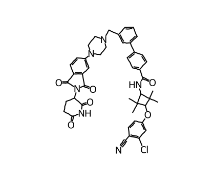 CC1(C)C(NC(=O)c2ccc(-c3cccc(CN4CCN(c5ccc6c(c5)C(=O)N(C5CCC(=O)NC5=O)C6=O)CC4)c3)cc2)C(C)(C)C1Oc1ccc(C#N)c(Cl)c1